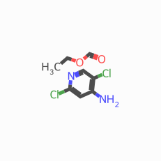 CCOC=O.Nc1cc(Cl)ncc1Cl